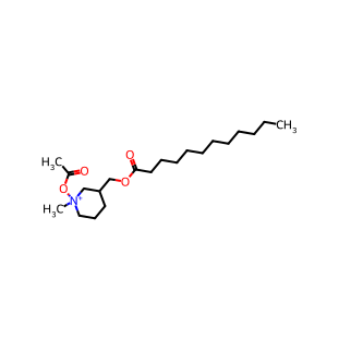 CCCCCCCCCCCC(=O)OCC1CCC[N+](C)(OC(C)=O)C1